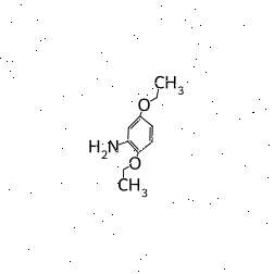 CCOc1ccc(OCC)c(N)c1